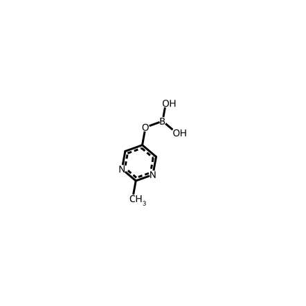 Cc1ncc(OB(O)O)cn1